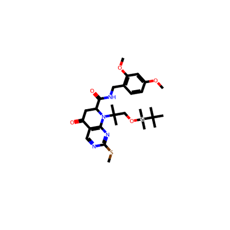 COc1ccc(CNC(=O)C2CC(=O)c3cnc(SC)nc3N2C(C)(C)CO[Si](C)(C)C(C)(C)C)c(OC)c1